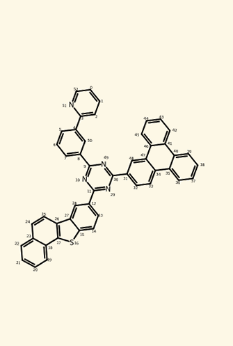 c1ccc(-c2cccc(-c3nc(-c4ccc5sc6c7ccccc7ccc6c5c4)nc(-c4ccc5c6ccccc6c6ccccc6c5c4)n3)c2)nc1